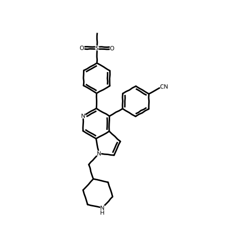 CS(=O)(=O)c1ccc(-c2ncc3c(ccn3CC3CCNCC3)c2-c2ccc(C#N)cc2)cc1